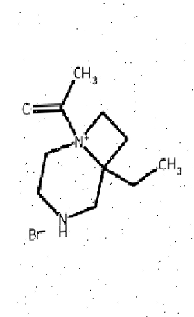 CCC12CC[N+]1(C(C)=O)CCNC2.[Br-]